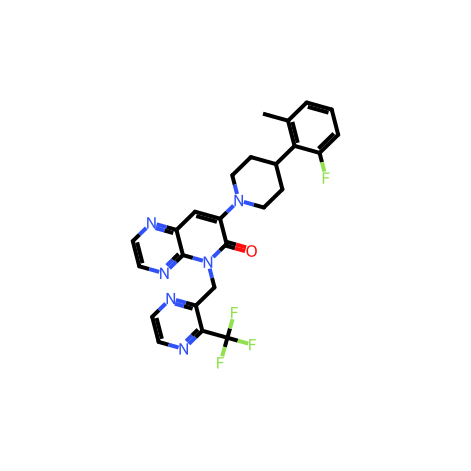 Cc1cccc(F)c1C1CCN(c2cc3nccnc3n(Cc3nccnc3C(F)(F)F)c2=O)CC1